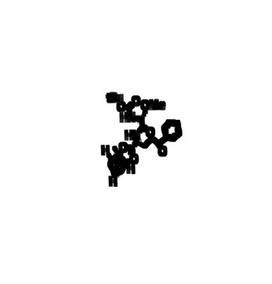 COC[C@@H](NC(=O)OC(C)(C)C)C(=O)N[C@@H](CCC(=O)c1ccccc1)B1O[C@@H]2C[C@@H]3C[C@@H](C3(C)C)[C@]2(C)O1